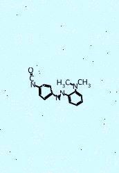 CN(C)c1ccccc1/N=N/c1ccc(N=C=O)cc1